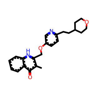 Cc1c(COc2ccc(CCC3CCOCC3)nc2)[nH]c2ccccc2c1=O